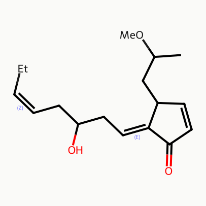 CC/C=C\CC(O)C/C=C1/C(=O)C=CC1CC(C)OC